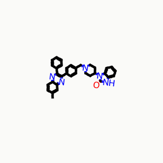 Cc1ccc2nc(-c3ccccc3)c(-c3ccc(CN4CCC(n5c(=O)[nH]c6ccccc65)CC4)cc3)nc2c1